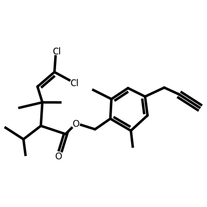 C#CCc1cc(C)c(COC(=O)C(C(C)C)C(C)(C)C=C(Cl)Cl)c(C)c1